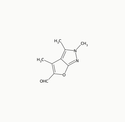 Cc1c(C=O)oc2nn(C)c(C)c12